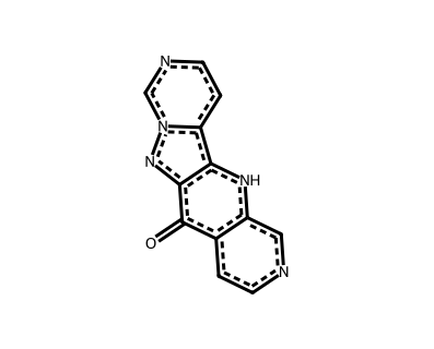 O=c1c2ccncc2[nH]c2c1nn1cnccc21